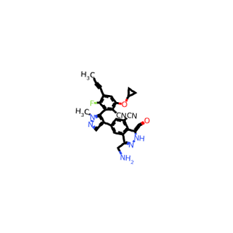 CC#Cc1cc(OC2CC2)c(C#N)c(-c2c(-c3cc(C#N)c4c(c3)C(CN)=NNC4=C=O)cnn2C)c1F